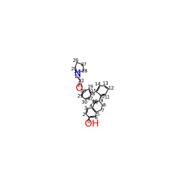 Oc1ccc2c(c1)CCC(c1ccccc1)[C@H]2c1ccc(OCCN2CCCC2)cc1